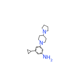 Nc1cc(C2CC2)cc(N2CCC(N3CCCC3)CC2)c1